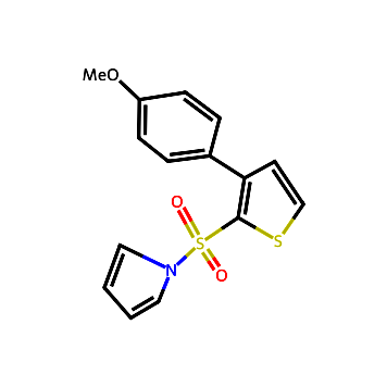 COc1ccc(-c2ccsc2S(=O)(=O)n2cccc2)cc1